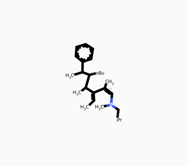 CC=C(/C(C)=C\N(C)CC(C)C)C(C)C(CCCC)C(C)c1ccccc1